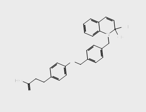 CC1(C)C=Cc2ccccc2N1Cc1ccc(COc2ccc(CCC(=O)O)cc2)cc1